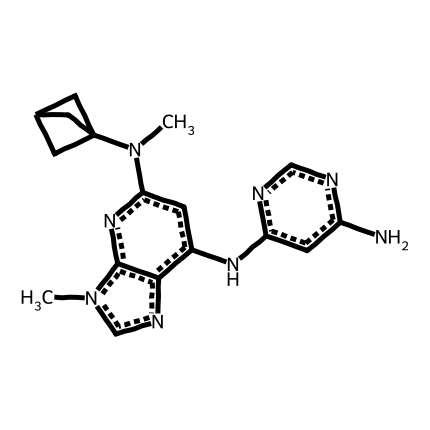 CN(c1cc(Nc2cc(N)ncn2)c2ncn(C)c2n1)C12CC(C1)C2